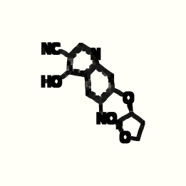 N#Cc1cnc2cc(O[C@H]3CCOC3)c([N+](=O)[O-])cc2c1O